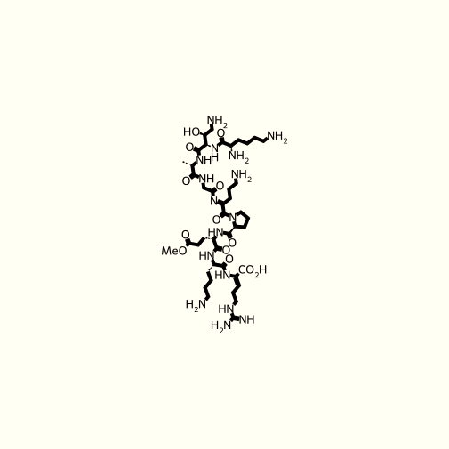 COC(=O)CC[C@H](NC(=O)[C@@H]1CCCN1C(=O)/C(CCCN)=N/C(=O)CNC(=O)[C@H](C)NC(=O)[C@@H](NC(=O)[C@@H](N)CCCCN)[C@@H](O)CN)C(=O)N[C@@H](CCCCN)C(=O)N/C(=C\CCNC(=N)N)C(=O)O